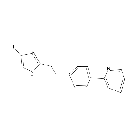 Ic1c[nH]c(CCc2ccc(-c3ccccn3)cc2)n1